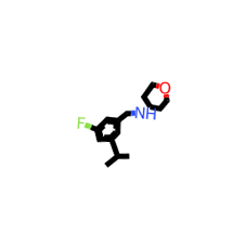 CC(C)c1cc(F)cc(CNC2CCOCC2)c1